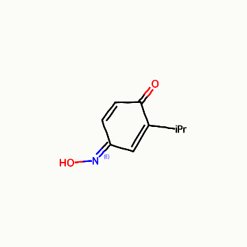 CC(C)C1=C/C(=N/O)C=CC1=O